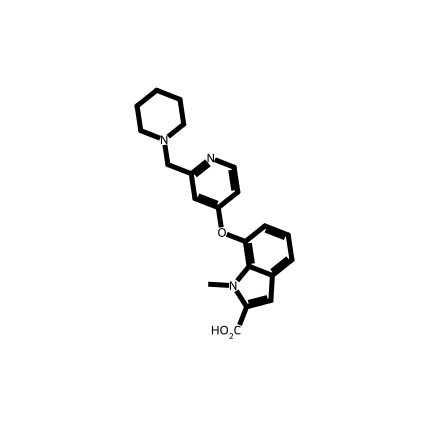 Cn1c(C(=O)O)cc2cccc(Oc3ccnc(CN4CCCCC4)c3)c21